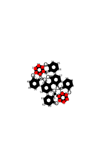 c1ccc2c(c1)Oc1ccccc1P2Oc1cccc(OP2c3ccccc3Oc3ccccc32)c1-c1c(OP2c3ccccc3Oc3ccccc32)cccc1OP1c2ccccc2Oc2ccccc21